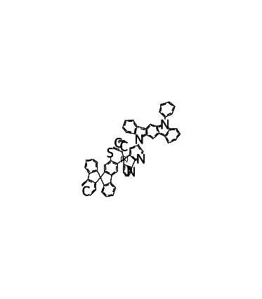 c1ccc(-n2c3ccccc3c3cc4c(cc32)c2ccccc2n4-c2cnc3c(c2)[C@@]2(c4ccccc4Sc4cc5c(cc42)-c2ccccc2C52c4ccccc4-c4ccccc42)c2cccnc2-3)cc1